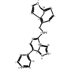 c1cc(CNc2ncc(-c3ccncc3)c3nncn23)c2ccoc2c1